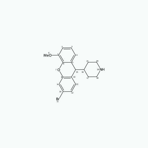 COc1cccc2c1Oc1cc(Br)ccc1C2C1CCNCC1